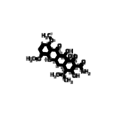 COc1ccc(OC)c2c1[SH]C1CC3C(N(C)C)C(O)=C(C(N)=O)C(=O)C3(O)C(O)=C1C2=O